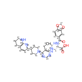 CCc1c(NC[C@H](NC(=O)c2ccc3c(c2)OCO3)C(=O)O)ncnc1N1CCC(c2ccc3c(n2)NCCC3)CC1